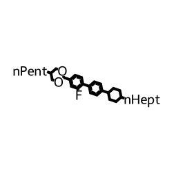 CCCCCCCC1CCC(c2ccc(-c3ccc(C4OCC(CCCCC)CO4)cc3F)cc2)CC1